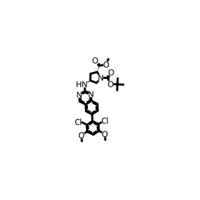 COC(=O)[C@H]1C[C@@H](Nc2ncc3cc(-c4c(Cl)c(OC)cc(OC)c4Cl)ccc3n2)CN1C(=O)OC(C)(C)C